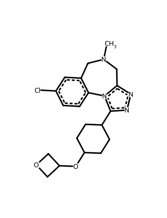 CN1Cc2cc(Cl)ccc2-n2c(nnc2C2CCC(OC3COC3)CC2)C1